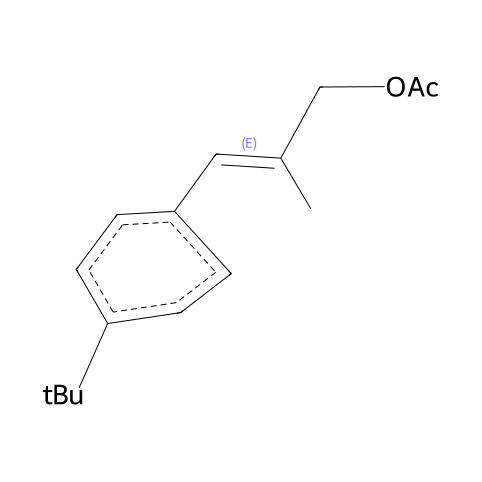 CC(=O)OC/C(C)=C/c1ccc(C(C)(C)C)cc1